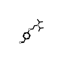 CC(C)N(CCOc1ccc(C=O)cc1)C(C)C